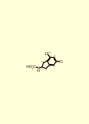 O=C(O)NC1Cc2cc(Cl)cc(Cl)c2C1